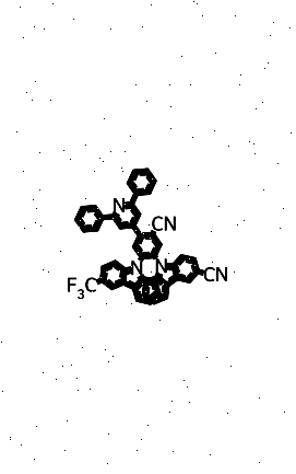 N#Cc1ccc2c(c1)c1ccccc1n2-c1cc(C#N)c(-c2cc(-c3ccccc3)nc(-c3ccccc3)c2)cc1-n1c2ccccc2c2cc(C(F)(F)F)ccc21